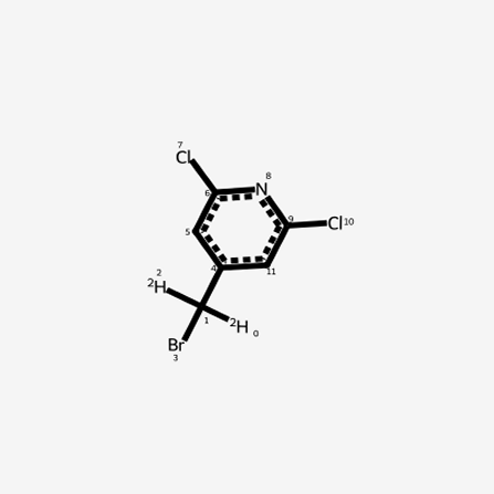 [2H]C([2H])(Br)c1cc(Cl)nc(Cl)c1